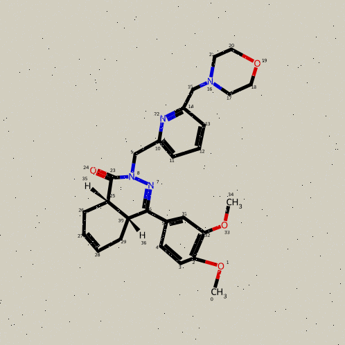 COc1ccc(C2=NN(Cc3cccc(CN4CCOCC4)n3)C(=O)[C@H]3CC=CC[C@@H]23)cc1OC